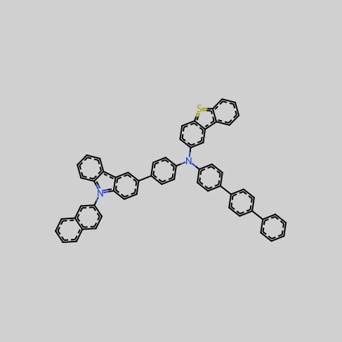 c1ccc(-c2ccc(-c3ccc(N(c4ccc(-c5ccc6c(c5)c5ccccc5n6-c5ccc6ccccc6c5)cc4)c4ccc5sc6ccccc6c5c4)cc3)cc2)cc1